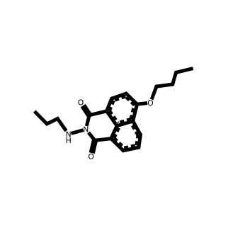 CCCCOc1ccc2c3c(cccc13)C(=O)N(NCCC)C2=O